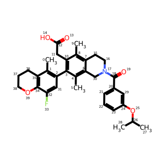 Cc1c(-c2c(C)c3c(c(C)c2CC(=O)O)CCN(C(=O)c2cccc(OC(C)C)c2)C3)cc(F)c2c1CCCO2